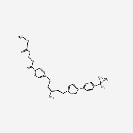 COC(=O)CCNC(=O)c1ccc(CCC(C)CCc2ccc(-c3ccc(C(C)(C)C)cc3)cc2)cc1